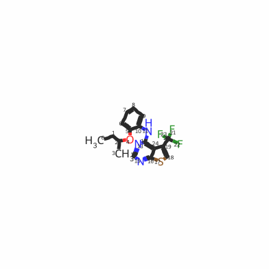 CCC(C)Oc1ccccc1Nc1ncnc2scc(C(F)(F)F)c12